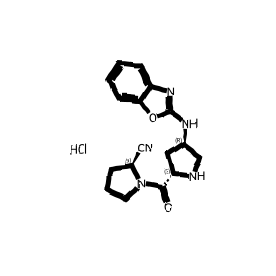 Cl.N#C[C@@H]1CCCN1C(=O)[C@@H]1C[C@@H](Nc2nc3ccccc3o2)CN1